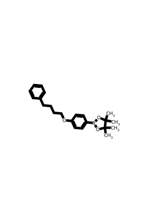 CC1(C)OB(c2ccc(OCCCCc3ccccc3)cc2)OC1(C)C